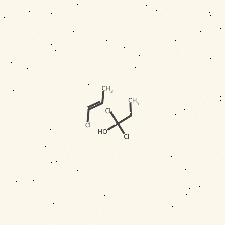 CC=CCl.CCC(O)(Cl)Cl